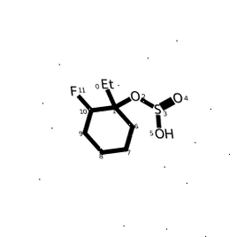 CCC1(OS(=O)O)CCCCC1F